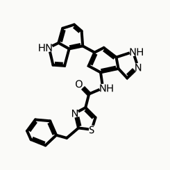 O=C(Nc1cc(-c2cccc3[nH]ccc23)cc2[nH]ncc12)c1csc(Cc2ccccc2)n1